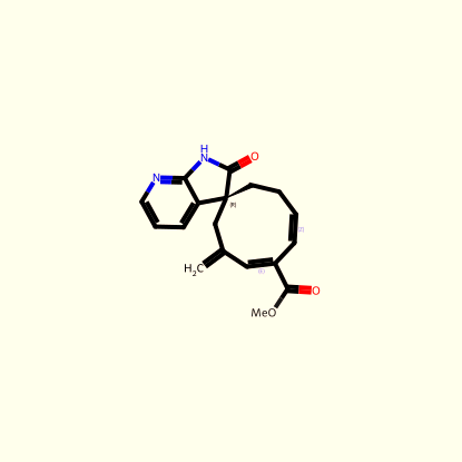 C=C1/C=C(C(=O)OC)\C=C/CC[C@]2(C1)C(=O)Nc1ncccc12